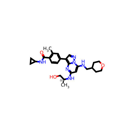 Cc1cc(-c2cnn3c(NCC4CCOCC4)cc(N[C@@H](C)CO)nc23)ccc1C(=O)NC1CC1